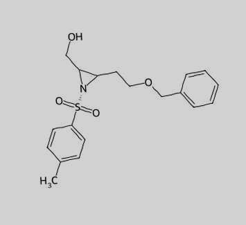 Cc1ccc(S(=O)(=O)[N@]2C(CO)C2CCOCc2ccccc2)cc1